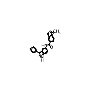 Cn1ncc2cc(C(=O)Nc3ccc4[nH]nc(-c5ccccc5)c4c3)ccc21